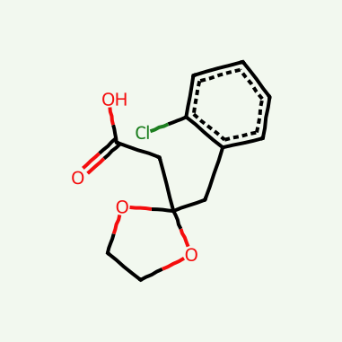 O=C(O)CC1(Cc2ccccc2Cl)OCCO1